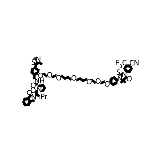 Cc1ncsc1-c1ccc(CNC(=O)[C@@H]2CCCN2C(=O)C(C(C)C)N2Cc3ccccc3C2=O)c(OCCOCCOCCCCOCCCCOCCOCCOc2ccc(N3C(=S)N(c4ccc(C#N)c(C(F)(F)F)c4)C(=O)C3(C)C)cc2)c1